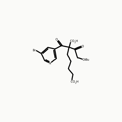 CC(C)COCC(=O)C(CCCCC(=O)O)(C(=O)O)C(=O)c1cncc(Br)c1